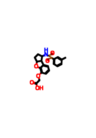 Cc1cccc(S(=O)(=O)NC2CCC3Oc4c(OCC(=O)O)cccc4C23)c1